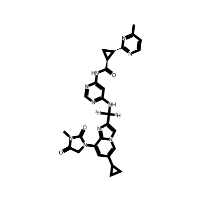 [2H]C([2H])(Nc1cc(NC(=O)[C@H]2C[C@@H]2c2nccc(C)n2)ncn1)c1cn2cc(C3CC3)cc(N3CC(=O)N(C)C3=O)c2n1